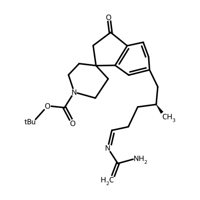 C=C(N)/N=C\CC[C@H](C)Cc1ccc2c(c1)C1(CCN(C(=O)OC(C)(C)C)CC1)CC2=O